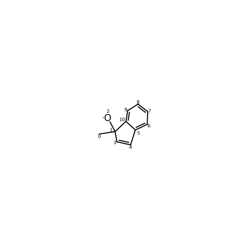 CC1([O])C=Cc2ccccc21